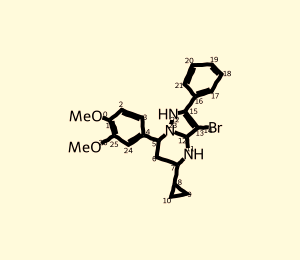 COc1ccc(C2CC(C3CC3)NC3C(Br)=C(c4ccccc4)NN32)cc1OC